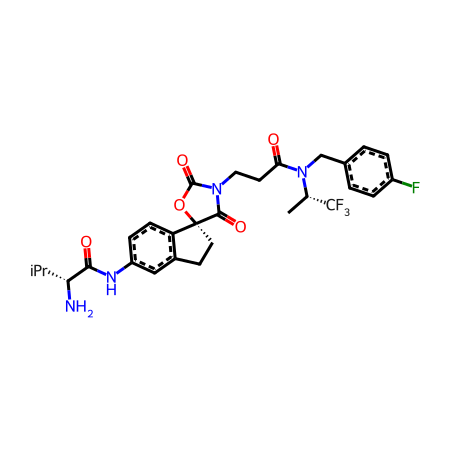 CC(C)[C@@H](N)C(=O)Nc1ccc2c(c1)CC[C@@]21OC(=O)N(CCC(=O)N(Cc2ccc(F)cc2)[C@@H](C)C(F)(F)F)C1=O